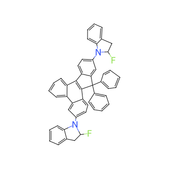 FC1Cc2ccccc2N1c1ccc2c(c1)C(c1ccccc1)(c1ccccc1)c1c-2c2ccccc2c2cc(N3c4ccccc4CC3F)ccc12